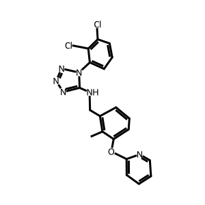 Cc1c(CNc2nnnn2-c2cccc(Cl)c2Cl)cccc1Oc1ccccn1